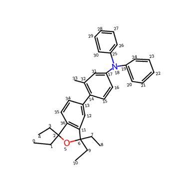 CCC1(CC)OC(CC)(CC)c2cc(-c3ccc(N(c4ccccc4)c4ccccc4)cc3C)ccc21